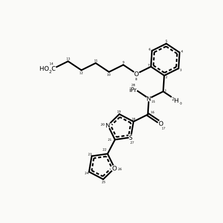 [2H]C(c1ccccc1OCCCCCC(=O)O)N(C(=O)c1cnc(-c2ccco2)s1)C(C)C